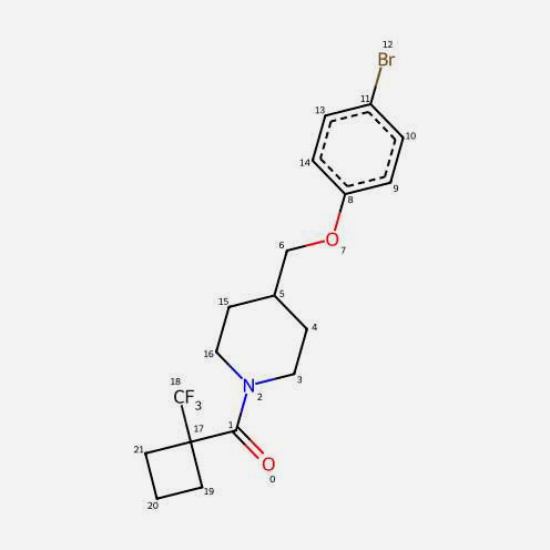 O=C(N1CCC(COc2ccc(Br)cc2)CC1)C1(C(F)(F)F)CCC1